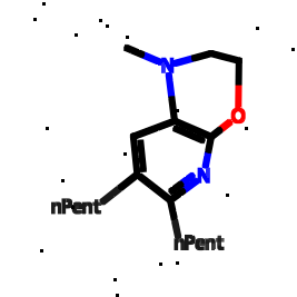 CCCCCc1cc2c(nc1CCCCC)OCCN2C